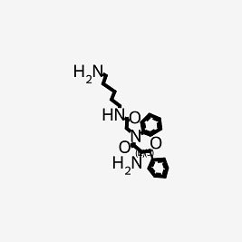 NCCCCCNC(=O)CN1C(=O)[C@H](N)[C@H](c2ccccc2)Oc2ccccc21